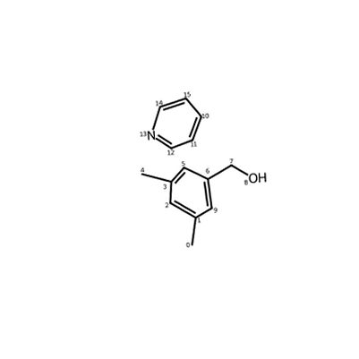 Cc1cc(C)cc(CO)c1.c1ccncc1